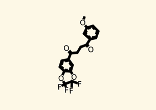 COc1cccc(C(=O)CCC(=O)c2ccc3c(c2)OC(F)(F)C(F)(F)O3)c1